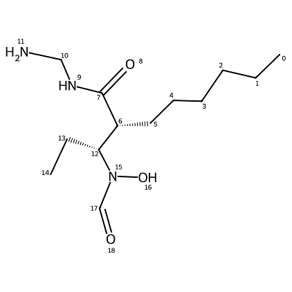 CCCCCC[C@@H](C(=O)NCN)[C@@H](CC)N(O)C=O